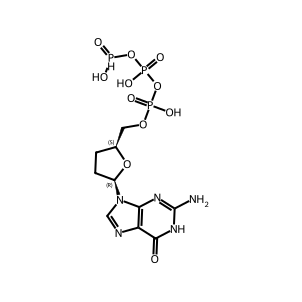 Nc1nc2c(ncn2[C@H]2CC[C@@H](COP(=O)(O)OP(=O)(O)O[PH](=O)O)O2)c(=O)[nH]1